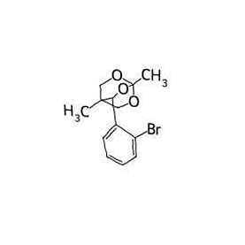 CC12OCC(C)(CO1)C(c1ccccc1Br)O2